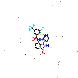 O=C(Nc1cccc2c1C(c1ccnc(Cl)c1)NC2=O)c1cc(F)cc(C(F)(F)F)c1